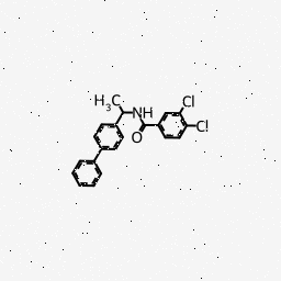 CC(NC(=O)c1ccc(Cl)c(Cl)c1)c1ccc(-c2ccccc2)cc1